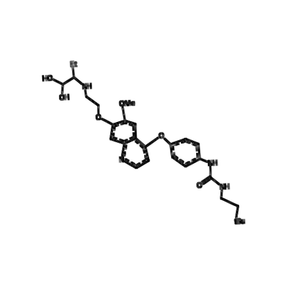 CCC(NCCOc1cc2nccc(Oc3ccc(NC(=O)NCCC(C)(C)C)cc3)c2cc1OC)C(O)O